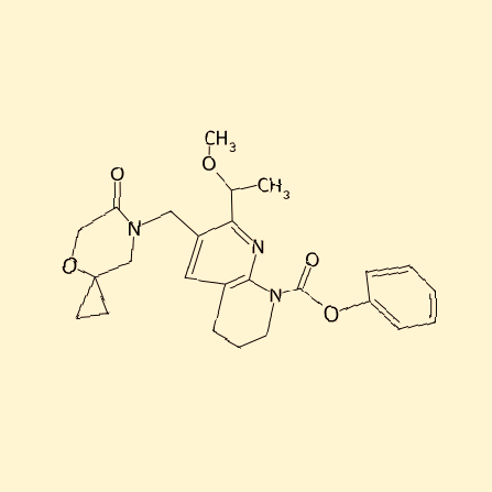 COC(C)c1nc2c(cc1CN1CC3(CC3)OCC1=O)CCCN2C(=O)Oc1ccccc1